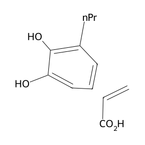 C=CC(=O)O.CCCc1cccc(O)c1O